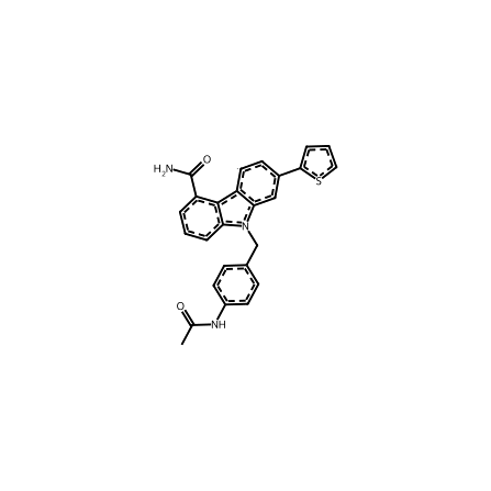 CC(=O)Nc1ccc(Cn2c3cc(-c4cccs4)c[c]c3c3c(C(N)=O)cccc32)cc1